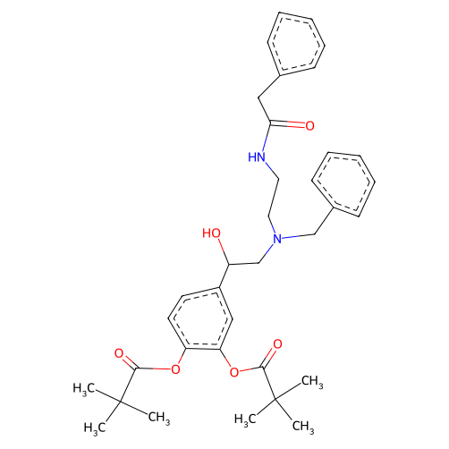 CC(C)(C)C(=O)Oc1ccc(C(O)CN(CCNC(=O)Cc2ccccc2)Cc2ccccc2)cc1OC(=O)C(C)(C)C